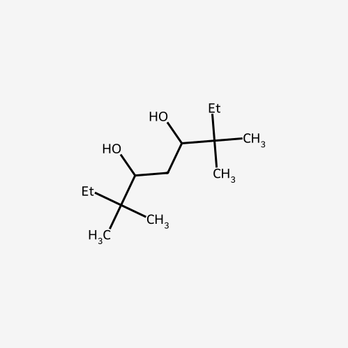 CCC(C)(C)C(O)CC(O)C(C)(C)CC